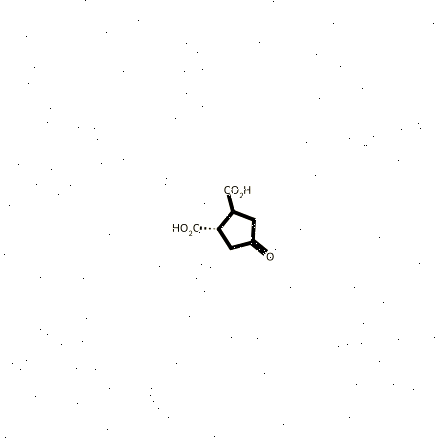 O=C1CC(C(=O)O)[C@@H](C(=O)O)C1